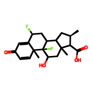 C[C@@H]1CC2C3C[C@H](F)C4=CC(=O)C=CC4(C)[C@@]3(F)C(O)CC2(C)C1C(=O)O